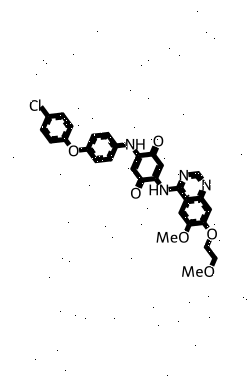 COCCOc1cc2ncnc(NC3=CC(=O)C(Nc4ccc(Oc5ccc(Cl)cc5)cc4)=CC3=O)c2cc1OC